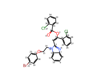 O=C(O/C(=C/c1nc2ccccc2n1CCOc1ccc(Br)cc1)c1ccccc1Cl)c1ccccc1Cl